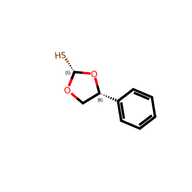 S[C@H]1OC[C@@H](c2ccccc2)O1